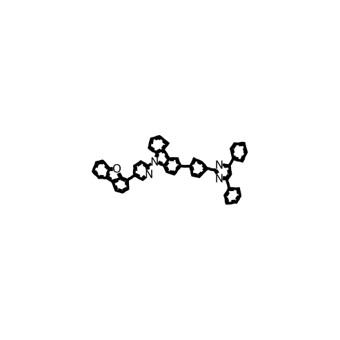 c1ccc(-c2cc(-c3ccccc3)nc(-c3ccc(-c4ccc5c(c4)c4ccccc4n5-c4ccc(-c5cccc6c5oc5ccccc56)cn4)cc3)n2)cc1